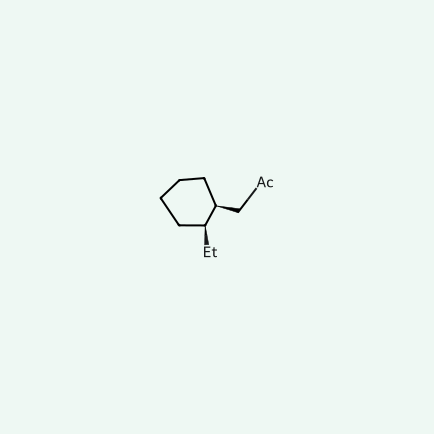 CC[C@H]1CCCC[C@H]1CC(C)=O